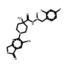 CC1(C(=O)N[S+]([O-])Cc2ccc(F)cc2F)CCN(c2nc3c(cc2C#N)C(=O)OC3)CC1